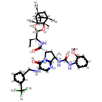 CC[C@H](NC(=O)[C@@H]1C[C@@](C)(NC(=O)Nc2ccccc2OC)c2ncc(NCc3cccc(C(F)(F)F)c3)c(=O)n21)B1O[C@@H]2C[C@@H]3C[C@@H](C3(C)C)[C@]2(C)O1